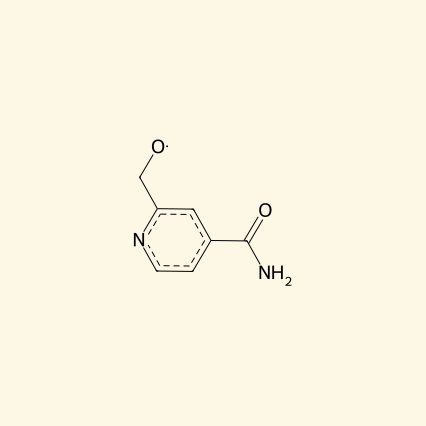 NC(=O)c1ccnc(C[O])c1